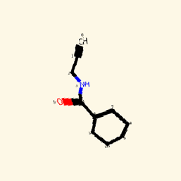 C#CCNC(=O)C1CCCCC1